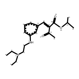 CCN(CC)CCNc1cccc(/C=C(\C(C)=O)C(=O)OC(C)C)c1